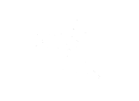 NNC(=O)c1ccc(CN(C(=O)N2CCS(=O)(=O)CC2)c2cccc(OC(F)(F)F)c2)c(F)c1